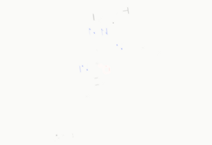 CCC(CC)(NC(=O)c1cnn2c1NC(c1ccccc1)CC2(C)C)c1ccc(COC(C)=O)cc1